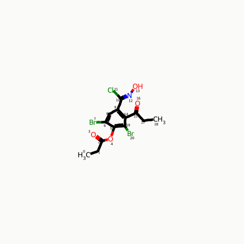 CCC(=O)Oc1c(Br)cc(C(Cl)=NO)c(C(=O)CC)c1Br